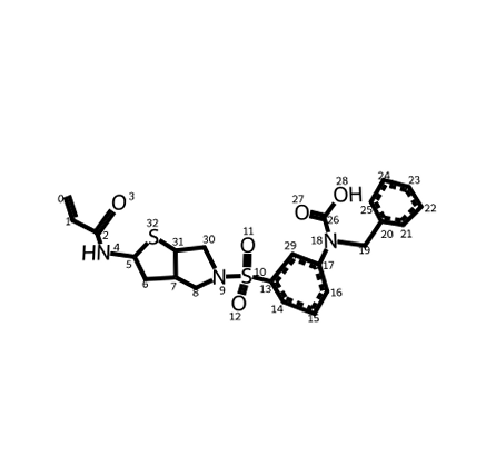 C=CC(=O)NC1CC2CN(S(=O)(=O)c3cccc(N(Cc4ccccc4)C(=O)O)c3)CC2S1